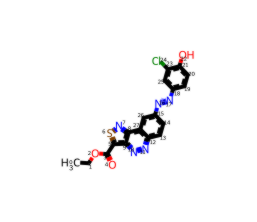 CCOC(=O)c1snc2c1nnc1ccc(/N=N/c3ccc(O)c(Cl)c3)cc12